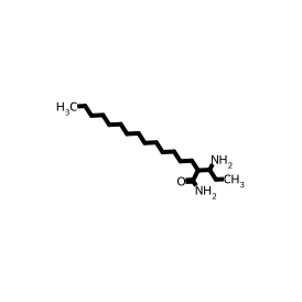 CCCCCCCCCCCCCCC(C(N)=O)C(N)CC